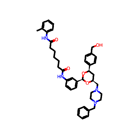 Cc1ccccc1NC(=O)CCCCCC(=O)Nc1cccc([C@@H]2O[C@H](CN3CCN(Cc4ccccc4)CC3)C[C@H](c3ccc(CO)cc3)O2)c1